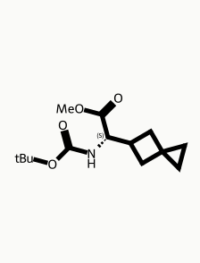 COC(=O)[C@@H](NC(=O)OC(C)(C)C)C1CC2(CC2)C1